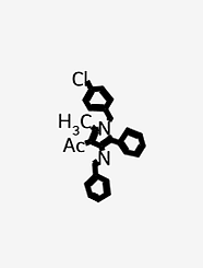 CC(=O)c1c(/N=C/c2ccccc2)c(-c2ccccc2)n(Cc2ccc(Cl)cc2)c1C